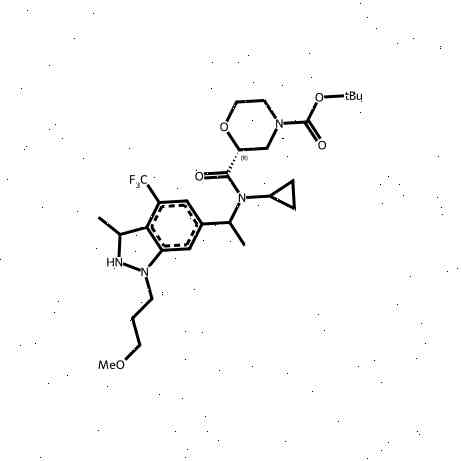 COCCCN1NC(C)c2c1cc(C(C)N(C(=O)[C@H]1CN(C(=O)OC(C)(C)C)CCO1)C1CC1)cc2C(F)(F)F